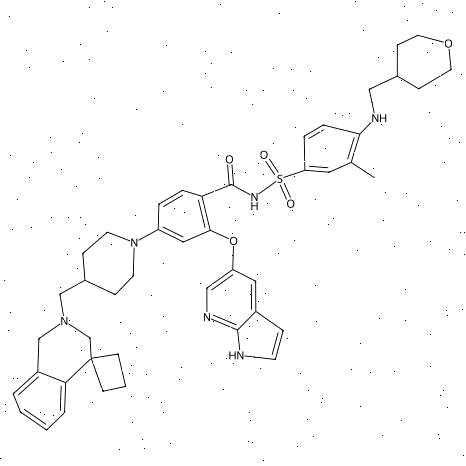 Cc1cc(S(=O)(=O)NC(=O)c2ccc(N3CCC(CN4Cc5ccccc5C5(CCC5)C4)CC3)cc2Oc2cnc3[nH]ccc3c2)ccc1NCC1CCOCC1